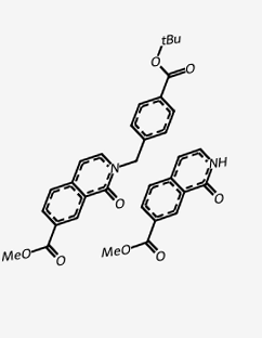 COC(=O)c1ccc2cc[nH]c(=O)c2c1.COC(=O)c1ccc2ccn(Cc3ccc(C(=O)OC(C)(C)C)cc3)c(=O)c2c1